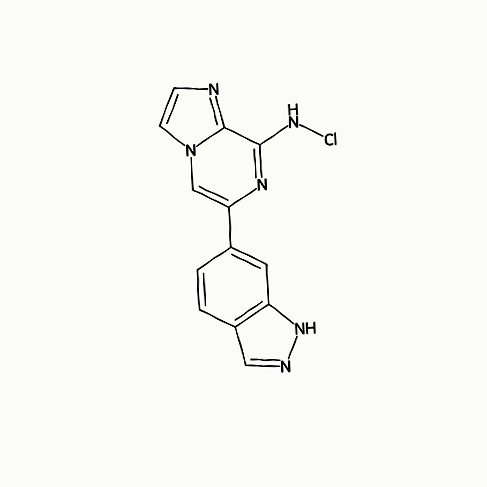 ClNc1nc(-c2ccc3cn[nH]c3c2)cn2ccnc12